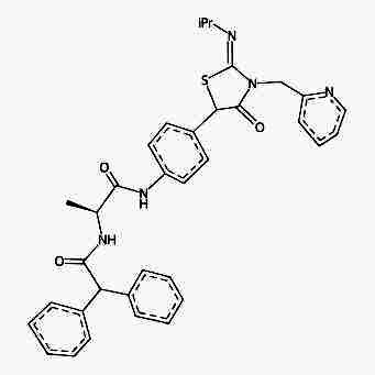 CC(C)/N=C1\SC(c2ccc(NC(=O)[C@H](C)NC(=O)C(c3ccccc3)c3ccccc3)cc2)C(=O)N1Cc1ccccn1